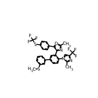 CSc1cccc(-c2ccc(-n3cc(C(F)(F)F)nc3C)c(-c3nc(C)oc3-c3ccc(SC(F)(F)F)cc3)c2)c1